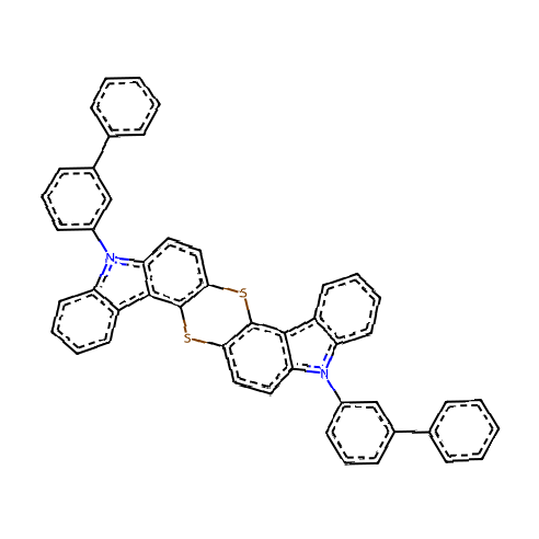 c1ccc(-c2cccc(-n3c4ccccc4c4c5c(ccc43)Sc3c(ccc4c3c3ccccc3n4-c3cccc(-c4ccccc4)c3)S5)c2)cc1